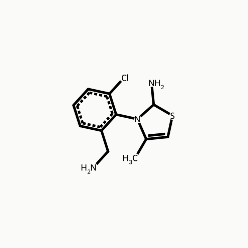 CC1=CSC(N)N1c1c(Cl)cccc1CN